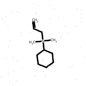 C=CC[Si](C)(C)C1CCCCC1